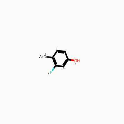 CC(=O)Oc1ccc(O)cc1F